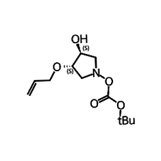 C=CCO[C@H]1CN(OC(=O)OC(C)(C)C)C[C@@H]1O